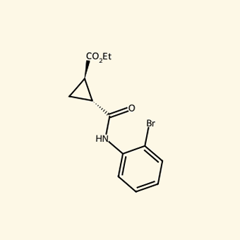 CCOC(=O)[C@@H]1C[C@H]1C(=O)Nc1ccccc1Br